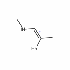 CN/C=C(/C)S